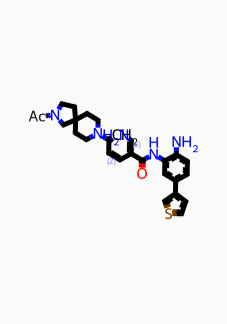 C=C(/C=C\C(=C/N)C(=O)Nc1cc(-c2ccsc2)ccc1N)N1CCC2(CC1)CCN(C(C)=O)C2